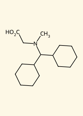 CN(CC(=O)O)C(C1CCCCC1)C1CCCCC1